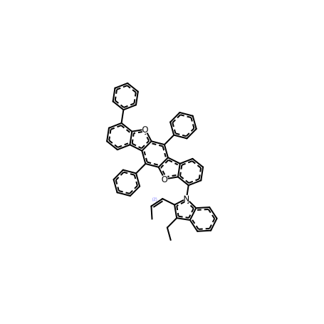 C/C=C\c1c(CC)c2ccccc2n1-c1cccc2c1oc1c(-c3ccccc3)c3c(oc4c(-c5ccccc5)cccc43)c(-c3ccccc3)c12